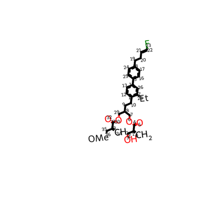 C=C(CO)C(=O)OCC(CCc1ccc(-c2ccc(CC/C=C/F)cc2)cc1CC)COC(=O)C(=C)COC